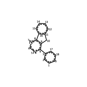 c1ccc(-c2ncnc3c2Cc2ccccc2-3)cc1